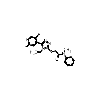 CCn1c(SCC(=O)N(C)c2ccccc2)nnc1-c1cc(F)ncc1F